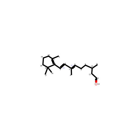 CC1=C(/C=C/C(C)=C/CCC(C)CC=O)C(C)(C)CCC1